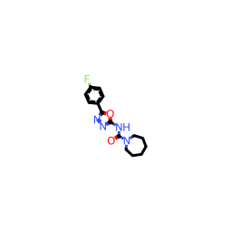 O=C(Nc1nnc(-c2ccc(F)cc2)o1)N1CCCCCC1